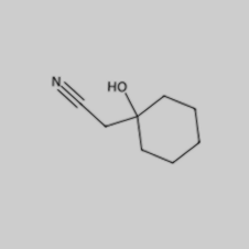 N#CCC1(O)CCCCC1